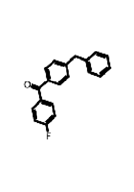 O=C(c1ccc(F)cc1)c1ccc(Cc2ccccc2)cc1